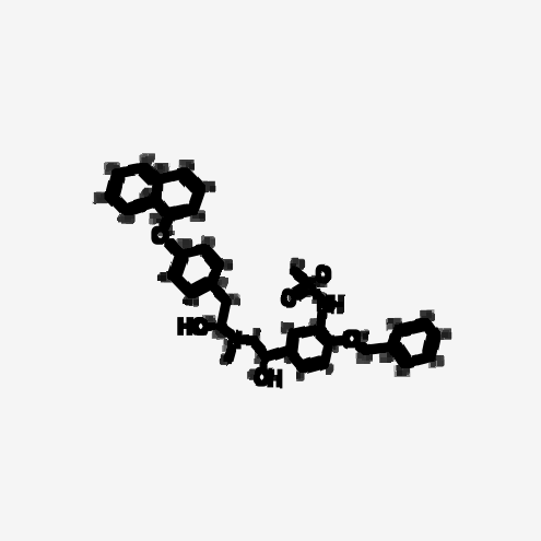 CN(C[C@H](O)c1ccc(OCc2ccccc2)c(NS(C)(=O)=O)c1)[C@@H](O)Cc1ccc(Oc2cccc3ccccc23)cc1